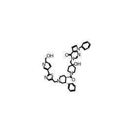 O=C([C@@H]1CCN(Cc2cnc(-c3ccc(CO)nc3)s2)C[C@H]1c1ccccc1)N1CCC(O)(Cn2cnc3c(ccn3-c3ccccc3)c2=O)CC1